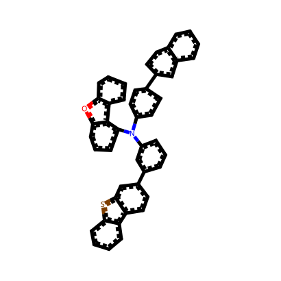 c1cc(-c2ccc3c(c2)sc2ccccc23)cc(N(c2ccc(-c3ccc4ccccc4c3)cc2)c2cccc3oc4ccccc4c23)c1